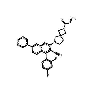 C=CC(=O)N1CC2(CCN(c3nc4cc(-c5cncnc5)ccc4c(-c4ccc(F)cc4F)c3C#N)C2)C1